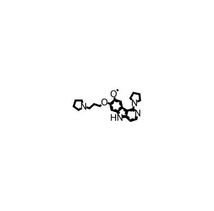 COc1cc2c(cc1OCCCN1CCCC1)[nH]c1ccnc(N3CCCC3)c12